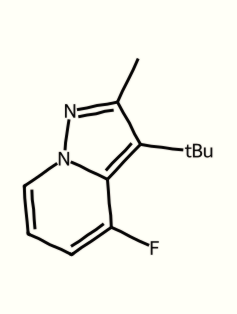 Cc1nn2cccc(F)c2c1C(C)(C)C